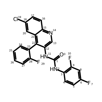 O=C(Nc1ccc(F)cc1F)Nc1cnc2ccc(Cl)cc2c1-c1ccccc1F